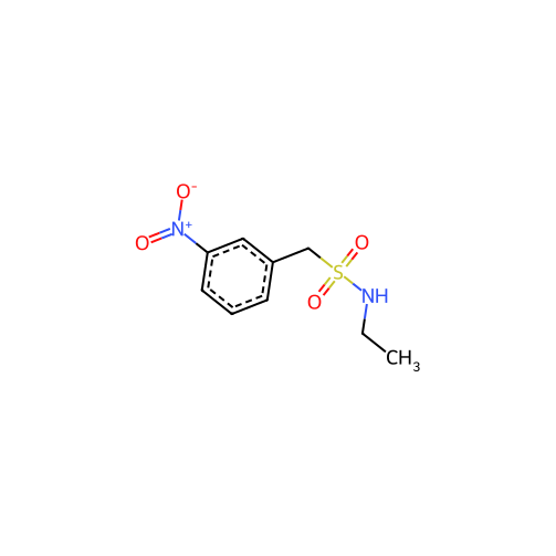 CCNS(=O)(=O)Cc1cccc([N+](=O)[O-])c1